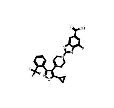 O=C(O)c1cc(F)c2nc(N3CC=C(c4c(-c5ccccc5C(F)(F)F)noc4C4CC4)CC3)sc2c1